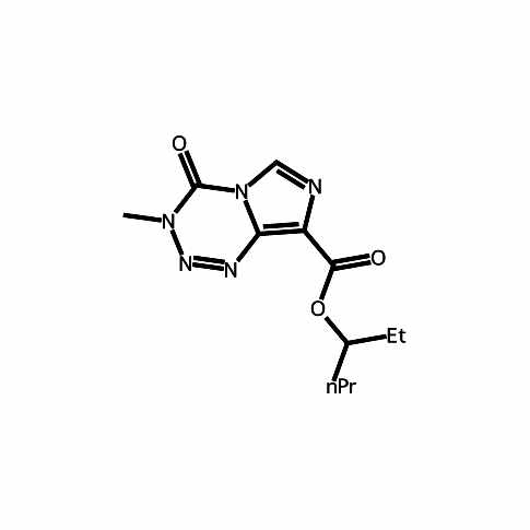 CCCC(CC)OC(=O)c1ncn2c(=O)n(C)nnc12